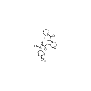 CC[C@@H](NC(=O)c1cc(C(=O)N2CCCCC2C)n2c1COCC2)c1ccc(C(F)(F)F)nc1